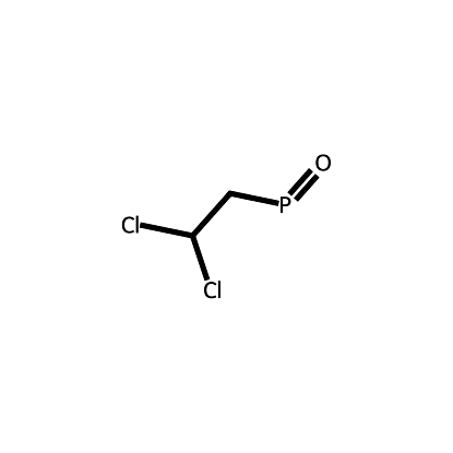 O=PCC(Cl)Cl